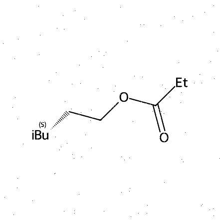 CCC(=O)OCC[C@@H](C)CC